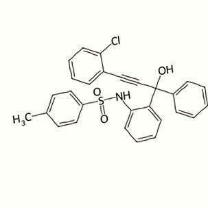 Cc1ccc(S(=O)(=O)Nc2ccccc2C(O)(C#Cc2ccccc2Cl)c2ccccc2)cc1